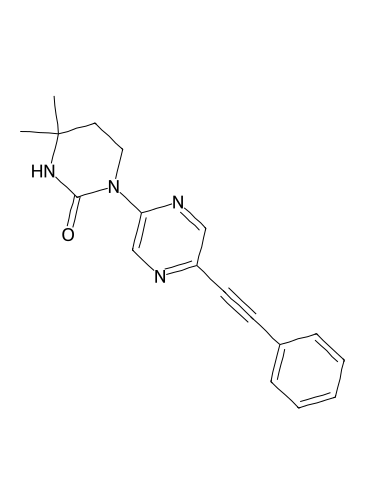 CC1(C)CCN(c2cnc(C#Cc3ccccc3)cn2)C(=O)N1